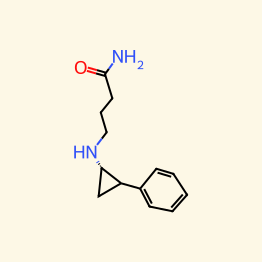 NC(=O)CCCN[C@H]1CC1c1ccccc1